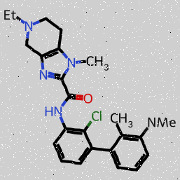 CCN1CCc2c(nc(C(=O)Nc3cccc(-c4cccc(NC)c4C)c3Cl)n2C)C1